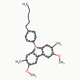 CCCCCc1ccc(-p2c3cc(C)c(OC)cc3c3cc(OC)c(C)cc32)cc1